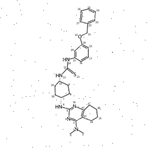 CN(C)c1nc(N[C@H]2CC[C@@H](NC(=S)Nc3cccc(OCc4ccccc4)c3)CC2)nc2c1CCCC2